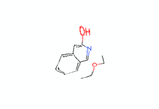 CCOCC.Oc1cc2ccccc2cn1